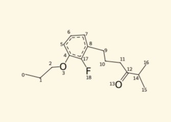 CCCOc1cccc(CCCC(=O)C(C)C)c1F